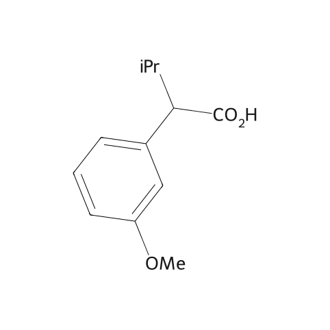 COc1cccc(C(C(=O)O)C(C)C)c1